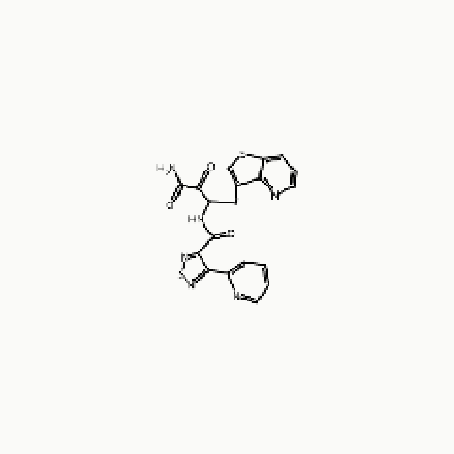 NC(=O)C(=O)C(Cc1csc2cccnc12)NC(=O)c1nsnc1-c1ccccn1